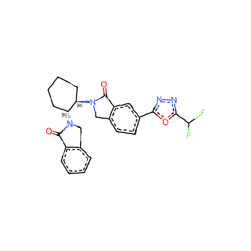 O=C1c2ccccc2CN1[C@@H]1CCCC[C@H]1N1Cc2ccc(-c3nnc(C(F)F)o3)cc2C1=O